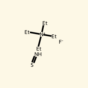 CC[N+](CC)(CC)CC.N=S.[F-]